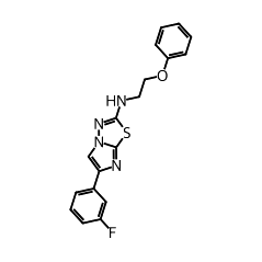 Fc1cccc(-c2cn3nc(NCCOc4ccccc4)sc3n2)c1